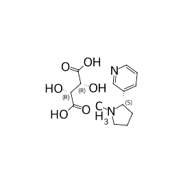 CN1CCC[C@H]1c1cccnc1.O=C(O)[C@H](O)[C@@H](O)C(=O)O